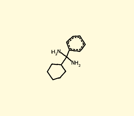 NC(N)(c1ccccc1)C1CCCCC1